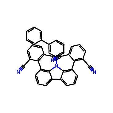 N#Cc1cccc(C#N)c1-c1cccc2c3cccc(-c4c(C#N)cccc4C#N)c3n(-c3cccc(-c4ccccc4)c3)c12